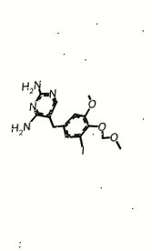 COCOc1c(I)cc(Cc2cnc(N)nc2N)cc1OC